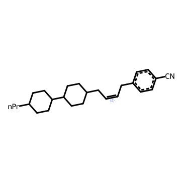 CCCC1CCC(C2CCC(C/C=C\Cc3ccc(C#N)cc3)CC2)CC1